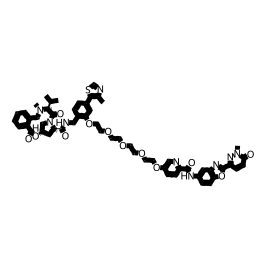 Cc1ncsc1-c1ccc(CNC(=O)[C@@H]2C[C@@H](O)CN2C(=O)[C@H](C(C)C)N(C)Cc2ccccc2C=O)c(OCCOCCOCCOCCOc2ccc(C(=O)Nc3ccc4oc(-c5ccc(=O)n(C)n5)nc4c3)nc2)c1